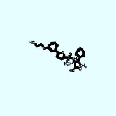 CC(c1ccccc1)[C@](C)(NS(=O)(=O)c1ccc(-c2cccc(OCCO)c2)s1)C(=O)O